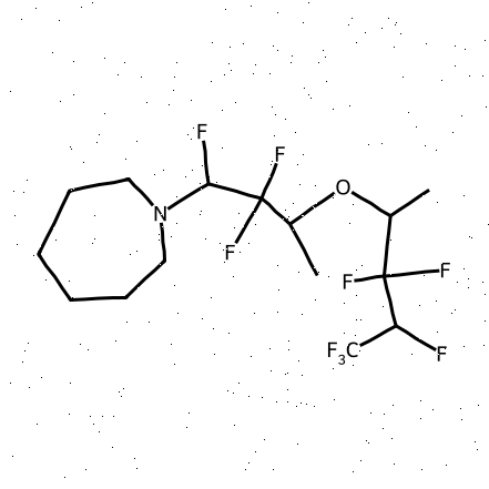 CC(OC(C)C(F)(F)C(F)C(F)(F)F)C(F)(F)C(F)N1CCCCCC1